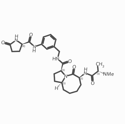 CN[C@@H](C)C(=O)N[C@H]1CCCC[C@H]2CC[C@@H](C(=O)NCc3cccc(NC(=O)[C@H]4CCC(=O)N4)c3)N2C1=O